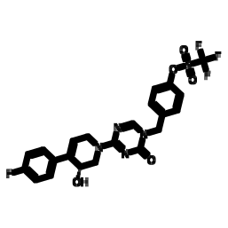 O=c1nc(N2CC=C(c3ccc(F)cc3)[C@@H](O)C2)ncn1Cc1ccc(OS(=O)(=O)C(F)(F)F)cc1